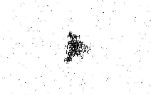 CC(=O)N[C@H](C(=O)N[C@@H](Cc1ccc(-c2cnn(C(F)F)c2)cc1)[C@@H](O)CN(Cc1c(F)cc(/C(C=N)=C/NC(F)F)cc1F)NC(=O)[C@@H](NC(C)=O)C(C)(C)C(F)(F)F)C(C)(C)C(F)(F)F